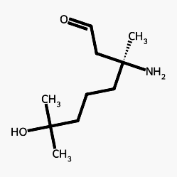 CC(C)(O)CCC[C@](C)(N)CC=O